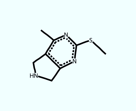 CSc1nc(C)c2c(n1)CNC2